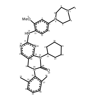 COc1cc(N2CCN(C)CC2)ccc1Nc1ncc2c(n1)N(C1CCCCC1)C(=O)N(c1c(C)cccc1C)C2